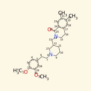 COc1ccc(CCN2CCCC(CN3CCc4cc(C)c(C)cc4C3=O)C2)cc1OC